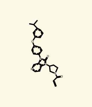 C=CC(=O)N1CCC(n2c(=O)n(-c3ccc(Oc4cccc(C(C)C)c4)cc3)c3cnccc32)C1